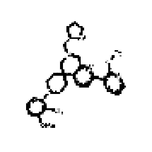 CCOc1ncccc1-c1ccc2c(n1)CN(C[C@H]1CCCN1)CC21CCN(c2cccc(OC)c2C(F)(F)F)CC1